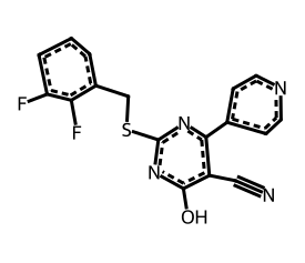 N#Cc1c(O)nc(SCc2cccc(F)c2F)nc1-c1ccncc1